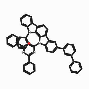 c1ccc(-c2cccc(-c3ccc4c(c3)c3ccc5c6ccccc6n(-c6ccccc6)c5c3n4-c3nc(-c4ccccc4)nc(-c4ccccc4)n3)c2)cc1